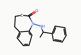 CC(NN1C(=O)CCCc2ccccc21)c1ccccc1